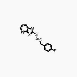 Fc1ccc(CSSSc2nc3cccnc3s2)cc1